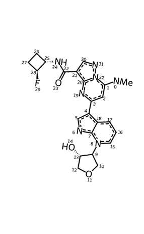 CNc1cc(-c2cnc3n(C4COC[C@@H]4O)cccc2-3)nc2c(C(=O)N[C@H]3CC[C@@H]3F)cnn12